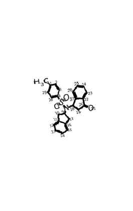 Cc1ccc(S(=O)(=O)N(C2Cc3ccccc3C2)C2CC(=O)c3ccccc32)cc1